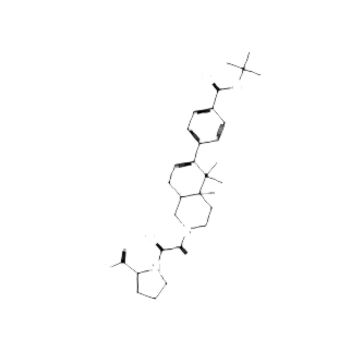 CC(C)(C)OC(=O)c1ccc(C2=CC[C@]3(C)CN(C(=O)C(=O)N4CCCC4C(=O)O)CC[C@H]3C2(C)C)cc1